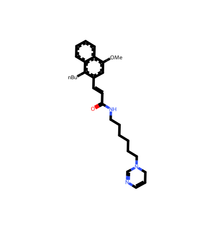 CCCCc1c(/C=C/C(=O)NCCCCCCN2C=NC=CC2)cc(OC)c2ccccc12